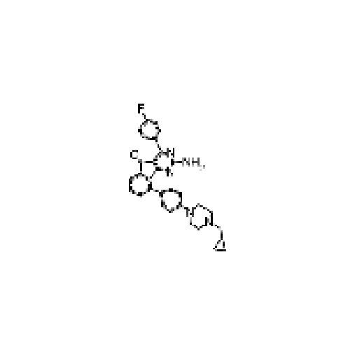 Nc1nc(-c2ccc(F)cc2)c2c(n1)-c1c(cccc1-c1ccc(N3CCN(CC4CC4)CC3)cc1)C2=O